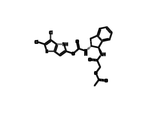 CC(=O)OCC(=O)N[C@@H]1c2ccccc2C[C@H]1NC(=O)Oc1cc2sc(Cl)c(Cl)c2[nH]1